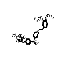 COc1ccc(CCN2CCC([S+]([O-])c3ccc(NS(C)(=O)=O)cc3)CC2)cc1OC